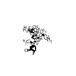 CN(C(=O)[C@@H]1C[C@H](O[Si](C)(C)C(C)(C)C)C(=O)N1C(=O)OC(C)(C)C)c1ccc(F)c(Cl)c1